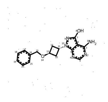 Nc1ncnc2c1c(O)nn2[C@H]1C[C@H](OCc2ccccc2)C1